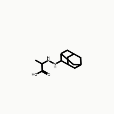 CC(NNC1C2CC3CC(C2)CC1C3)C(=O)O